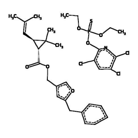 CC(C)=C[C@@H]1[C@@H](C(=O)OCc2coc(Cc3ccccc3)c2)C1(C)C.CCOP(=S)(OCC)Oc1nc(Cl)c(Cl)cc1Cl